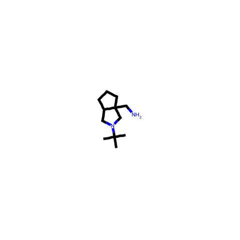 CC(C)(C)N1CC2CCCC2(CN)C1